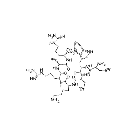 CC(C)C[C@H](NC(=O)[C@H](Cc1c[nH]c2ccccc12)NC(=O)[C@@H](N)CC(C)C)C(=O)N[C@@H](CCCCN)C(=O)N[C@@H](CCCNC(=N)N)C(=O)N[C@H](C(=O)N[C@@H](CCCNC(=N)N)C(=O)O)C(C)C